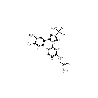 Cc1cc(-c2nc(C(C)(C)C)[nH]c2-c2ccnc(NC[C@H](C)O)n2)cnc1N